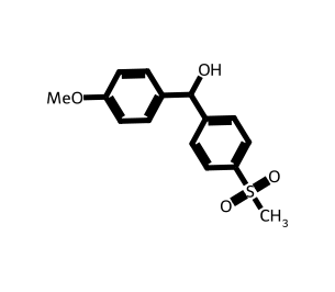 COc1ccc(C(O)c2ccc(S(C)(=O)=O)cc2)cc1